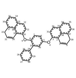 C1=Cc2c(Oc3ccc(Oc4ccc5cccc6c5c4C=CC6)c(-c4ccccc4)c3)ccc3cccc(c23)C1